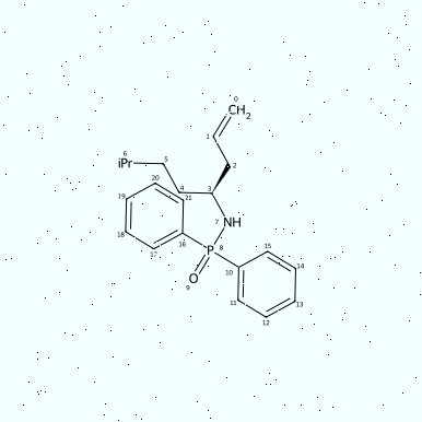 C=CC[C@H](CCC(C)C)NP(=O)(c1ccccc1)c1ccccc1